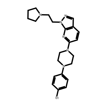 CCc1ccc(N2CCN(c3ccc4cnn(CCN5CCCC5)c4n3)CC2)cc1